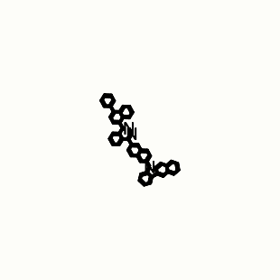 c1ccc(-c2ccc(-c3nnc(-c4ccc5cc(-n6c7ccccc7c7cc8ccccc8cc76)ccc5c4)c4ccccc34)c3ccccc23)cc1